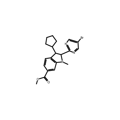 COC(=O)c1ccc2c(c1)N(C)C(c1ncc(Br)cn1)C2C1CCCC1